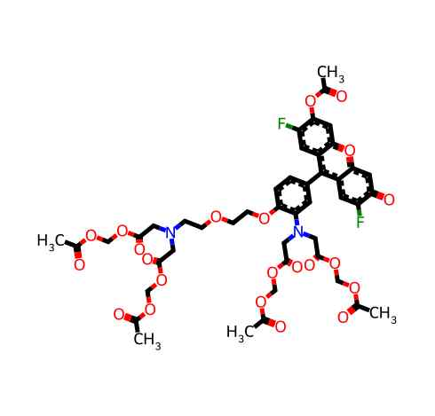 CC(=O)OCOC(=O)CN(CCOCCOc1ccc(-c2c3cc(F)c(=O)cc-3oc3cc(OC(C)=O)c(F)cc23)cc1N(CC(=O)OCOC(C)=O)CC(=O)OCOC(C)=O)CC(=O)OCOC(C)=O